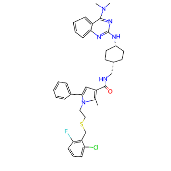 Cc1c(C(=O)NC[C@H]2CC[C@@H](Nc3nc(N(C)C)c4ccccc4n3)CC2)cc(-c2ccccc2)n1CCSCc1c(F)cccc1Cl